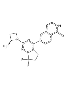 C[C@H]1CCN1c1nc(-c2ccc3c(=O)[nH]ccc3c2)c2c(n1)C(F)(F)CC2